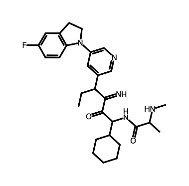 CCC(C(=N)C(=O)C(NC(=O)C(C)NC)C1CCCCC1)c1cncc(N2CCc3cc(F)ccc32)c1